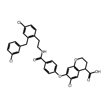 O=C(NCCc1ccc(Cl)cc1Cc1cccc(Cl)c1)c1ccc(Oc2cc3c(cc2Cl)C(C(=O)O)CCO3)cc1